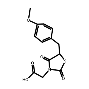 COc1ccc(CC2SC(=O)N(CC(=O)O)C2=O)cc1